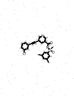 Cc1cc(C)cc(S(C)(=O)=NC(=O)c2cncc(C#Cc3cccc(Cl)c3)c2)c1